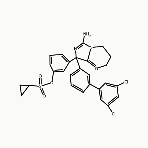 NC1=NC(c2cccc(OS(=O)(=O)C3CC3)c2)(c2cccc(-c3cc(Cl)cc(Cl)c3)c2)C2=NCCCN12